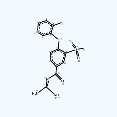 Cc1ccncc1Oc1ccc(C(=O)N=C(N)N)cc1S(C)(=O)=O